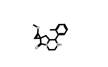 COC1=CC12CC1C(c3ccccc3C)NCCN1C2=O